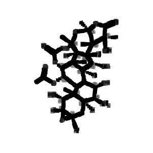 CC(=O)O[C@H]1C2C([C@@H](O)[C@@H](N)[C@H]3C[C@@H]4O[C@@H]4[C@H](O)[C@]23C)[C@@H]2[C@@H](O)[C@@H]3[C@@H]([C@@]2(C)[C@H]1OC(C)=O)[C@](C)(O)O[C@@]1(C)OC(=O)[C@@](C)(O)[C@]31C